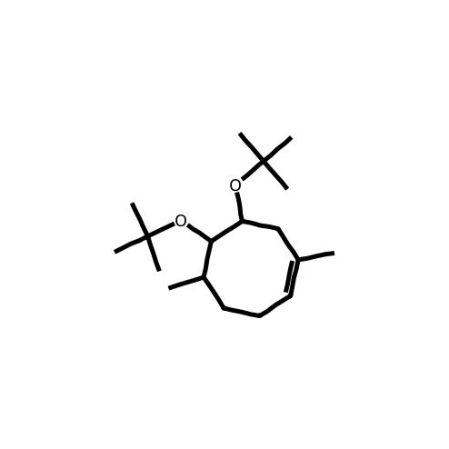 C/C1=C/CCC(C)C(OC(C)(C)C)C(OC(C)(C)C)C1